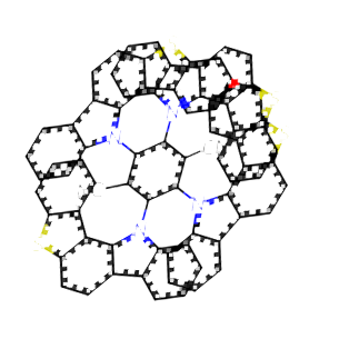 N#Cc1c(-n2c3ccccc3c3ccc4sc5ccccc5c4c32)c(-n2c3ccccc3c3ccc4sc5ccccc5c4c32)c(C#N)c(-n2c3ccccc3c3ccc4sc5ccccc5c4c32)c1-n1c2ccccc2c2ccc3sc4ccccc4c3c21